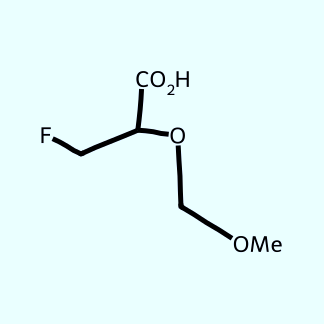 COCOC(CF)C(=O)O